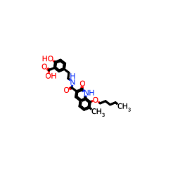 CCCCCOc1c(C)ccc2cc(C(=O)NCCc3ccc(O)c(C(=O)O)c3)c(=O)[nH]c12